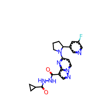 O=C(NNC(=O)C1CC1)c1cnn2ccc(N3CCCC3c3cncc(F)c3)nc12